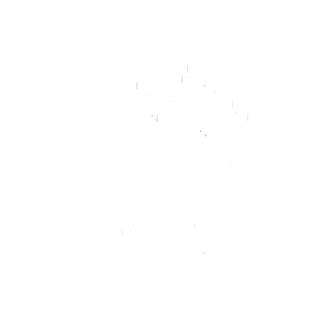 BC(B)(B)N1c2c(C)c([C@H](OC(C)(C)C)C(=O)O)c(-c3ccc(Cl)cc3)c3cc(C)n(c23)C(B)(B)C1(B)B